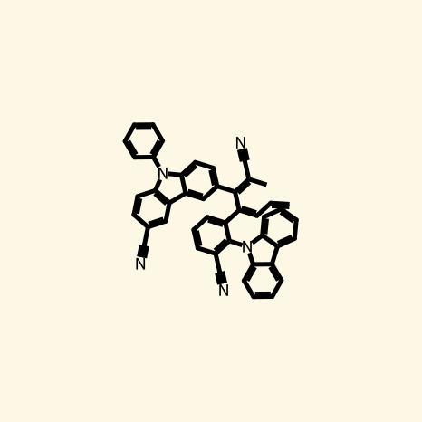 C=C/C=C(\C(=C(/C)C#N)c1ccc2c(c1)c1cc(C#N)ccc1n2-c1ccccc1)c1cccc(C#N)c1-n1c2ccccc2c2ccccc21